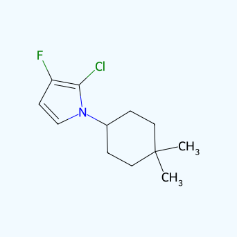 CC1(C)CCC(n2ccc(F)c2Cl)CC1